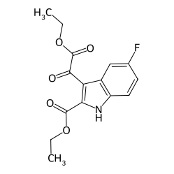 CCOC(=O)C(=O)c1c(C(=O)OCC)[nH]c2ccc(F)cc12